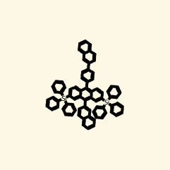 c1ccc([Si](c2ccccc2)(c2ccccc2)c2ccc3c(-c4ccc(-c5ccc6ccccc6c5)cc4)c4ccc([Si](c5ccccc5)(c5ccccc5)c5ccccc5)cc4c(-c4ccc5ccccc5c4)c3c2)cc1